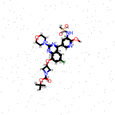 COc1ncc(-c2nc(N3CCOCC3)nc3c(OC4CN(C(=O)OC(C)(C)C)C4)cc(F)cc23)cc1NS(C)(=O)=O